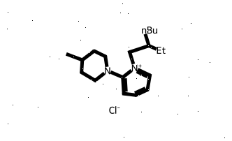 CCCCC(CC)C[n+]1ccccc1N1CCC(C)CC1.[Cl-]